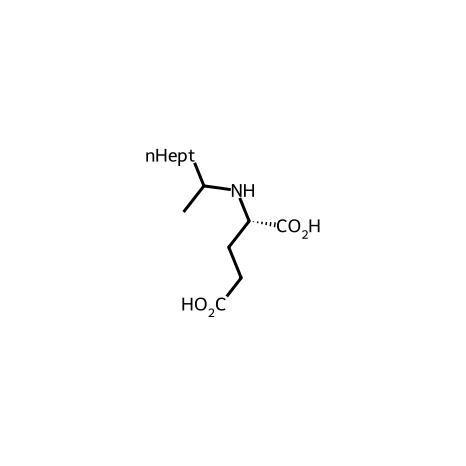 CCCCCCCC(C)N[C@@H](CCC(=O)O)C(=O)O